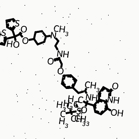 CC(Cc1ccc(OCC(=O)NCCN(C)C2CCC(OC(=O)C(O)(c3cccs3)c3cccs3)CC2)cc1)NC(C)(O[Si](C)(C)C(C)(C)C)c1ccc(O)c2[nH]c(=O)ccc12